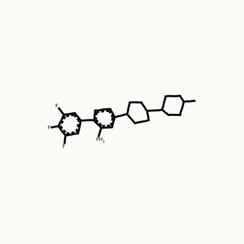 CC1CCC(C2CCC(c3ccc(-c4cc(F)c(F)c(F)c4)c(P)c3)CC2)CC1